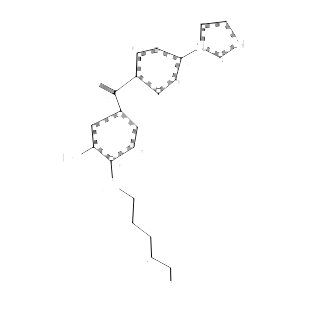 Cc1cc(C(=O)c2ccc(-n3ccnc3)cc2)ccc1OCCCCCC=O